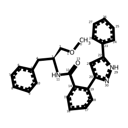 COC[C@H](Cc1ccccc1)NC(=O)c1ccccc1-c1cc(-c2ccccc2)[nH]n1